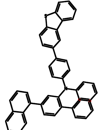 c1ccc(-c2ccc(-c3cccc4ccccc34)cc2N(c2ccccc2)c2ccc(-c3ccc4sc5ccccc5c4c3)cc2)cc1